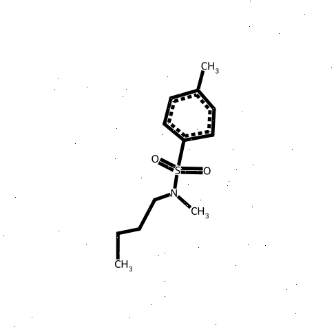 CCCCN(C)S(=O)(=O)c1ccc(C)cc1